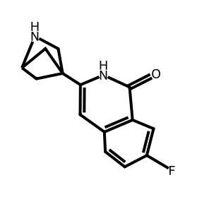 O=c1[nH]c(C23CNC(C2)C3)cc2ccc(F)cc12